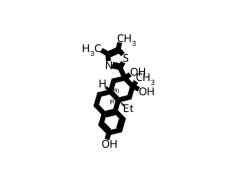 CC[C@@]12CC(C)(O)C(O)(c3nc(C)c(C)s3)C[C@H]1CCc1cc(O)ccc12